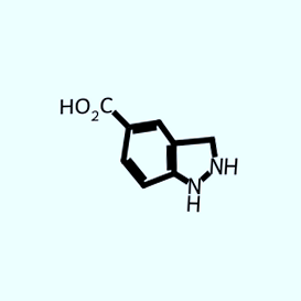 O=C(O)c1ccc2c(c1)CNN2